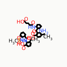 CCc1ccc(C(=O)O)c(C(=O)c2ccccc2NC(=O)CCCC(=O)O)c1N.CCc1cccc(C(=O)O)c1NC(=O)c1ccccc1NS(C)(=O)=O